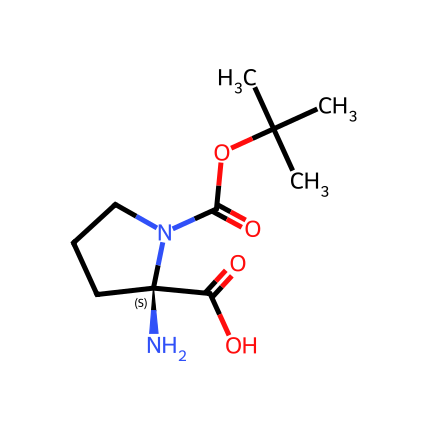 CC(C)(C)OC(=O)N1CCC[C@@]1(N)C(=O)O